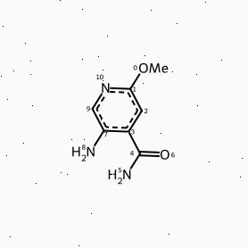 COc1cc(C(N)=O)c(N)cn1